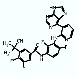 CC(C)(C#N)c1cc(C(=O)Nc2ccc(F)c(Nc3ncccc3-c3ncnc4[nH]cnc34)c2F)cc(F)c1F